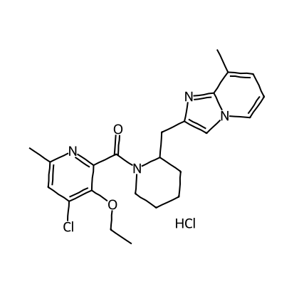 CCOc1c(Cl)cc(C)nc1C(=O)N1CCCCC1Cc1cn2cccc(C)c2n1.Cl